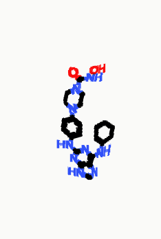 O=C(NO)N1CCN(c2ccc(Nc3nc(NC4CCCCC4)c4nc[nH]c4n3)cc2)CC1